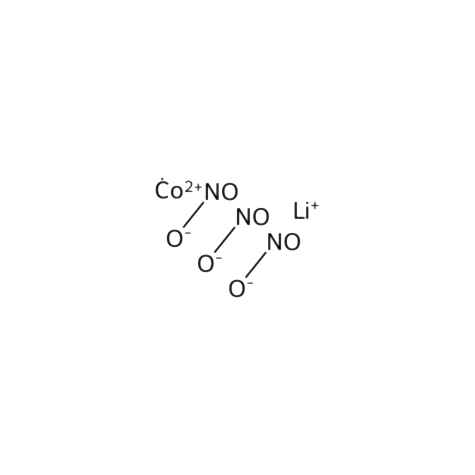 O=N[O-].O=N[O-].O=N[O-].[Co+2].[Li+]